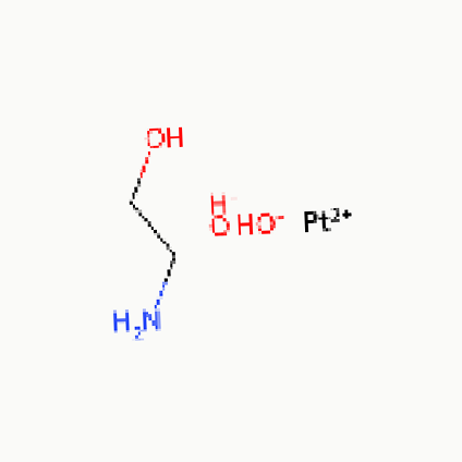 NCCO.[OH-].[OH-].[Pt+2]